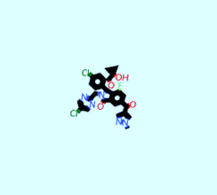 Cn1cc(C(=O)c2cc(F)c3c(c2)C(=O)N(Cc2ncc(Cl)cn2)[C@@]3(OCC2(O)CC2)c2ccc(Cl)cc2)cn1